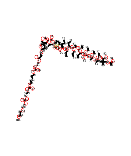 C1COCOC1.CC1COC(=O)O1.CCC(=O)OC.CCCC(=O)OC.CCCOC(=O)CC.CCCOC(=O)OC.CCCOC(C)=O.CCOC(=O)CC.CCOC(=O)OC.CCOC(=O)OCC.CCOC(C)=O.CCOCC.COC(=O)C(C)(C)C.COC(=O)OC.COC(C)=O.COCCOC.O=C1CCCO1.O=S1(=O)CCCC1